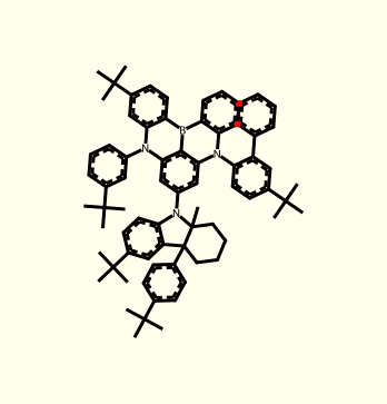 CC(C)(C)c1ccc(C23CCCCC2(C)N(c2cc4c5c(c2)N(c2ccc(C(C)(C)C)cc2-c2ccccc2)c2ccccc2B5c2ccc(C(C)(C)C)cc2N4c2cccc(C(C)(C)C)c2)c2ccc(C(C)(C)C)cc23)cc1